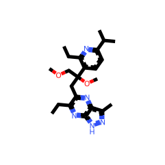 CCc1nc(C(C)C)ccc1C(COC)(Cc1nc2c(C)n[nH]c2nc1CC)OC